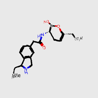 CNCC1NCc2cc(CC(=O)N[C@H]3CC[C@@H](CC(=O)O)OB3O)ccc21